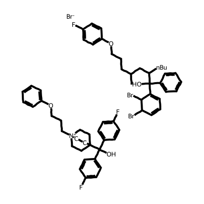 CCCCC(CC(C)CCCOc1ccc(F)cc1)C(O)(C1=CC=CC(Br)C1Br)c1ccccc1.OC(c1ccc(F)cc1)(c1ccc(F)cc1)C12CC[N+](CCCOc3ccccc3)(CC1)CC2.[Br-]